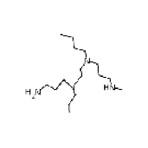 CCCCN(CCCNC)CCN(CCC)CCCN